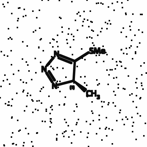 CSC1=NN=N[C@@H]1C